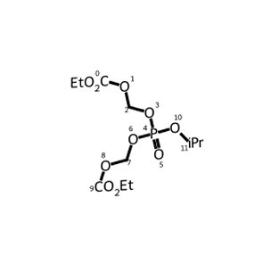 CCOC(=O)OCOP(=O)(OCOC(=O)OCC)OC(C)C